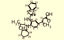 CC(C)CN(c1ccc(C(C)CC(=O)O)cc1Nc1nc2ccccc2s1)C1CCCCC1